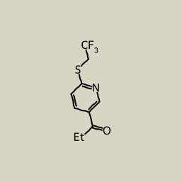 CCC(=O)c1ccc(SCC(F)(F)F)nc1